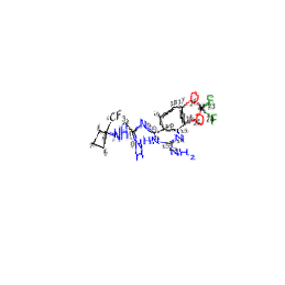 N=C(CNC1(C(F)(F)F)CCC1)/N=c1\[nH]c(N)nc2c3c(ccc12)OC(F)(F)O3